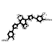 CCCCCCc1ccc(-c2ccc(-c3c4c(c(-c5ccc(-c6ccc(CCCCCC)c(C(F)(F)F)c6)s5)c5nsnc35)N=S=N4)s2)cc1C